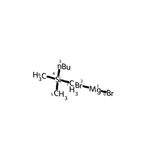 [Br][Mg][Br].[CH2]CCC[Si](C)(C)C